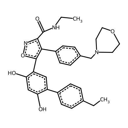 CCNC(=O)c1noc(-c2cc(-c3ccc(CC)cc3)c(O)cc2O)c1-c1ccc(CN2CCOCC2)cc1